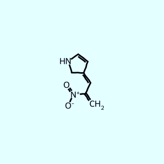 C=C(/C=C1/C=CNC1)[N+](=O)[O-]